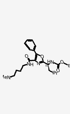 CNCCCCNC(=O)c1nc([C@H](CC(C)C)NC(=O)OC(C)(C)C)oc1-c1ccccc1